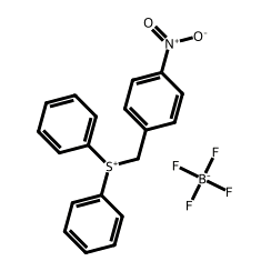 F[B-](F)(F)F.O=[N+]([O-])c1ccc(C[S+](c2ccccc2)c2ccccc2)cc1